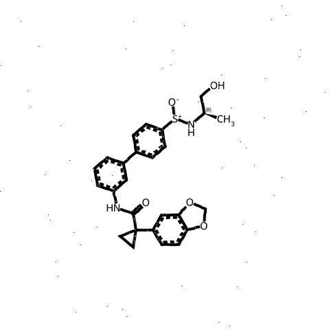 C[C@H](CO)N[S+]([O-])c1ccc(-c2cccc(NC(=O)C3(c4ccc5c(c4)OCO5)CC3)c2)cc1